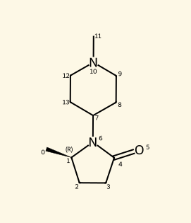 C[C@@H]1CCC(=O)N1C1CCN(C)CC1